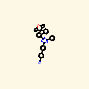 N#Cc1ccc(-c2ccc(-c3nc(-c4ccccc4)nc(-c4cccc5c4-c4ccccc4C54c5ccccc5Oc5ccccc54)n3)cc2)cc1